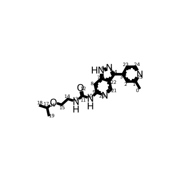 Cc1cc(-c2n[nH]c3cc(NC(=O)NCCOC(C)C)ncc23)ccn1